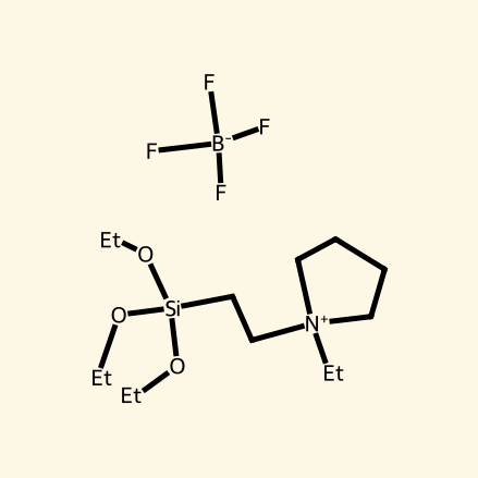 CCO[Si](CC[N+]1(CC)CCCC1)(OCC)OCC.F[B-](F)(F)F